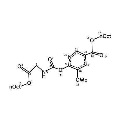 CCCCCCCCOC(=O)CNC(=O)Oc1ncc(C(=O)OCCCCCCCC)cc1OC